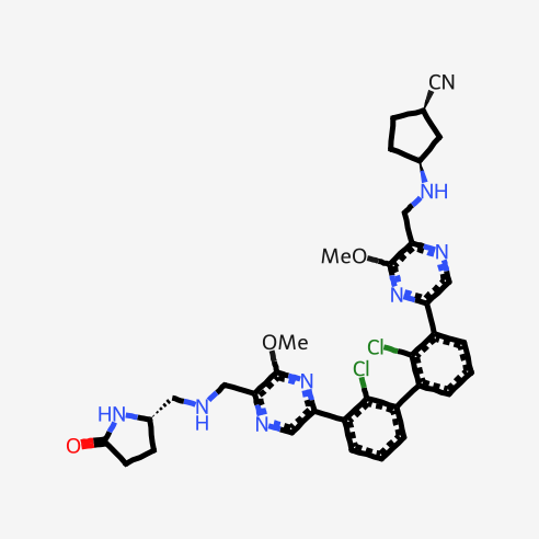 COc1nc(-c2cccc(-c3cccc(-c4cnc(CN[C@H]5CC[C@@H](C#N)C5)c(OC)n4)c3Cl)c2Cl)cnc1CNC[C@@H]1CCC(=O)N1